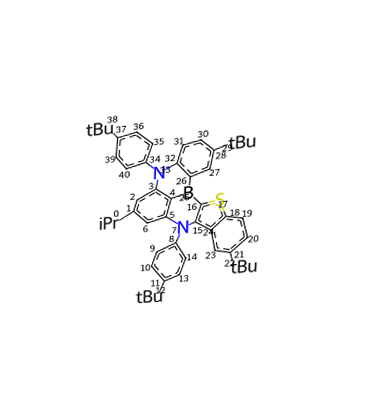 CC(C)c1cc2c3c(c1)N(c1ccc(C(C)(C)C)cc1)c1c(sc4ccc(C(C)(C)C)cc14)B3c1cc(C(C)(C)C)ccc1N2c1ccc(C(C)(C)C)cc1